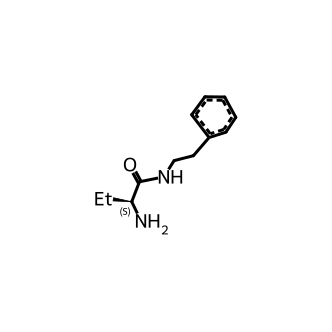 CC[C@H](N)C(=O)NCCc1ccccc1